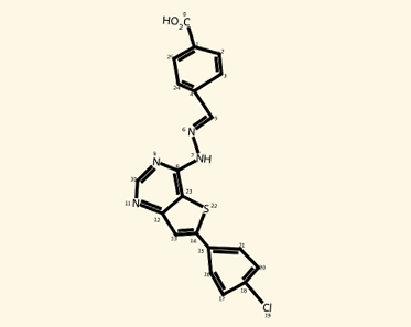 O=C(O)c1ccc(C=NNc2ncnc3cc(-c4ccc(Cl)cc4)sc23)cc1